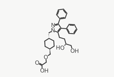 O=C(O)COC[C@H]1CC[C@H](Cn2nc(-c3ccccc3)c(-c3ccccc3)c2CC[C@H](O)CO)CC1